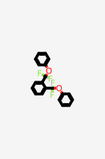 FC(F)(Oc1ccccc1)c1ccccc1C(F)(F)Oc1ccccc1